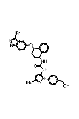 CC(C)c1nnc2ccc(O[C@@H]3CC[C@H](NC(=O)Nc4cc(C(C)(C)C)nn4-c4ccc(CO)cc4)c4ccccc43)cn12